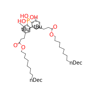 CCCCCCCCCCCCCCCCCCOC(=O)CCc1cc(C)c(P(O)(O)(O)c2c(C)cc(CCC(=O)OCCCCCCCCCCCCCCCCCC)cc2C(C)(C)C)c(C(C)(C)C)c1